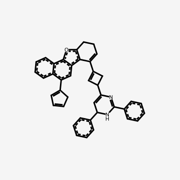 C1=CCC(c2cc3c4c(oc3c3ccccc23)CCC=C4C2=CC(C3=CC(c4ccccc4)NC(c4ccccc4)=N3)C2)=C1